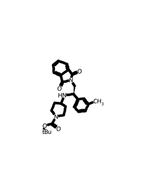 Cc1cccc([C@H](CN2C(=O)c3ccccc3C2=O)NC2CCN(C(=O)OC(C)(C)C)CC2)c1